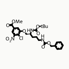 COC(=O)c1cc(OC[C@H](CCCNC(=O)OCc2ccccc2)NC(=O)OC(C)(C)C)c(Cl)c([N+](=O)[O-])c1